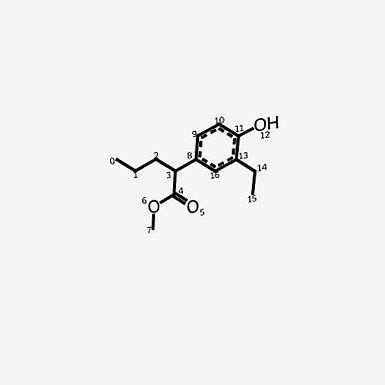 CCCC(C(=O)OC)c1ccc(O)c(CC)c1